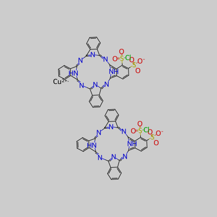 O=S(=O)([O-])c1ccc2c3nc4nc(nc5[nH]c(nc6nc(nc([nH]3)c2c1S(=O)(=O)Cl)-c1ccccc1-6)c1ccccc51)-c1ccccc1-4.O=S(=O)([O-])c1ccc2c3nc4nc(nc5[nH]c(nc6nc(nc([nH]3)c2c1S(=O)(=O)Cl)-c1ccccc1-6)c1ccccc51)-c1ccccc1-4.[Cu+2]